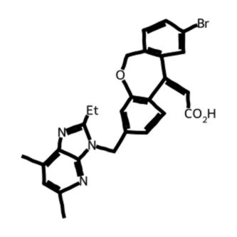 CCc1nc2c(C)cc(C)nc2n1Cc1ccc2c(c1)OCc1ccc(Br)cc1C2=CC(=O)O